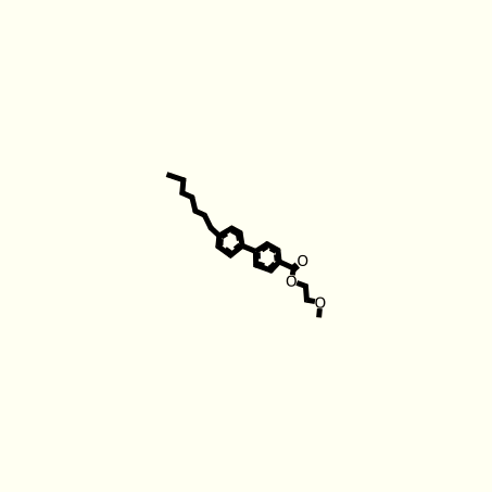 CCCCCCCc1ccc(-c2ccc(C(=O)OCCOC)cc2)cc1